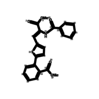 COC(=O)/C(=C/c1ccc(-c2ccccc2C(=O)OC)s1)NC(=O)c1ccccc1